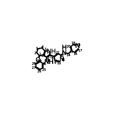 O=C1CCCc2[nH]c(-c3ccnc(NCc4ccncc4)c3)c(Nc3ccccc3)c21